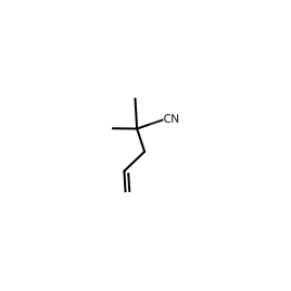 C=CCC(C)(C)C#N